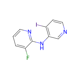 Fc1cccnc1Nc1cnccc1I